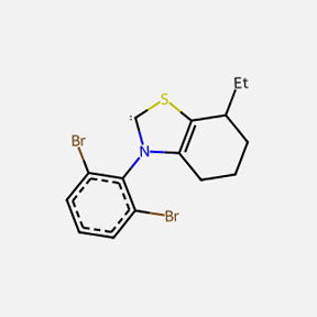 CCC1CCCC2=C1S[C]N2c1c(Br)cccc1Br